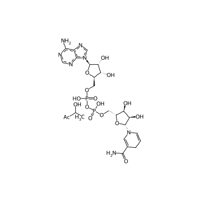 CC(=O)C(C)O.NC(=O)C1=CN([C@@H]2O[C@H](COP(=O)(O)OP(=O)(O)OC[C@H]3O[C@@H](n4cnc5c(N)ncnc54)[C@H](O)[C@@H]3O)[C@@H](O)[C@H]2O)C=CC1